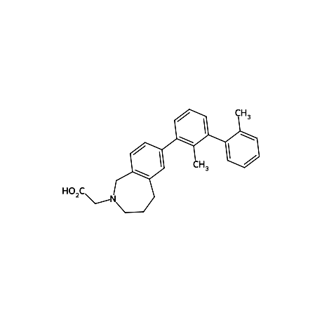 Cc1ccccc1-c1cccc(-c2ccc3c(c2)CCCN(CC(=O)O)C3)c1C